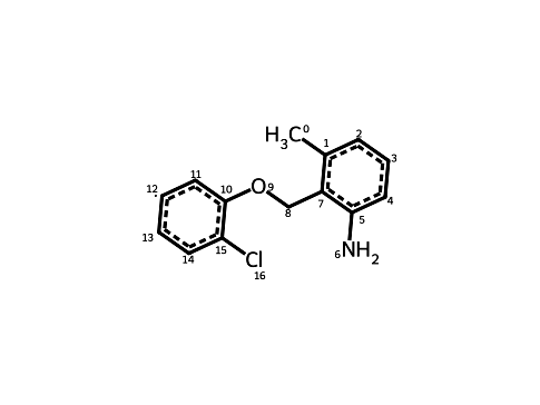 Cc1cccc(N)c1COc1c[c]ccc1Cl